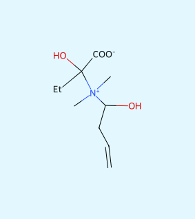 C=CCC(O)[N+](C)(C)C(O)(CC)C(=O)[O-]